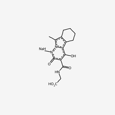 Cc1c2c(c3c(O)c(C(=O)NCC(=O)O)c(=O)n(C)n13)CCCC2.[NaH]